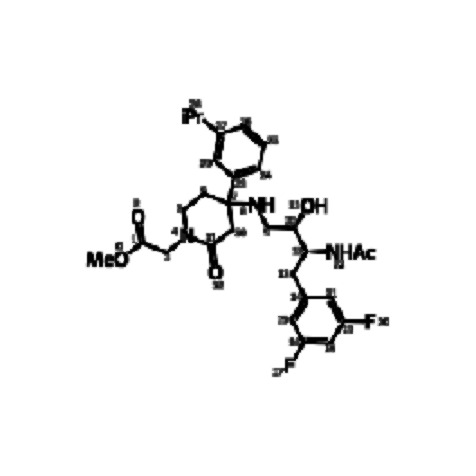 COC(=O)CN1CCC(NC[C@@H](O)[C@H](Cc2cc(F)cc(F)c2)NC(C)=O)(c2cccc(C(C)C)c2)CC1=O